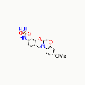 COc1ccc2c(c1)OCC(=O)N2Cc1ccc(NS(N)(=O)=O)cc1